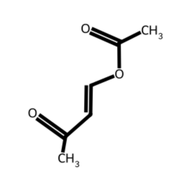 CC(=O)C=COC(C)=O